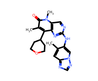 Cc1cc2ncnn2cc1Nc1ncc2c(n1)c(C1CCOCC1)c(C)c(=O)n2C